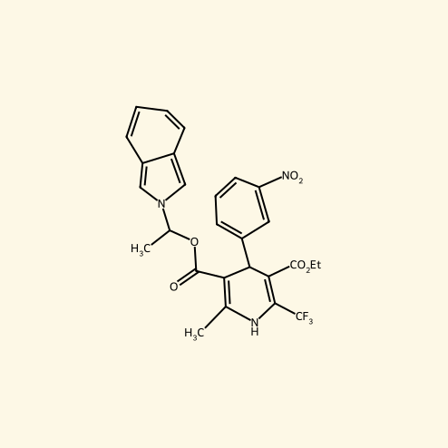 CCOC(=O)C1=C(C(F)(F)F)NC(C)=C(C(=O)OC(C)n2cc3ccccc3c2)C1c1cccc([N+](=O)[O-])c1